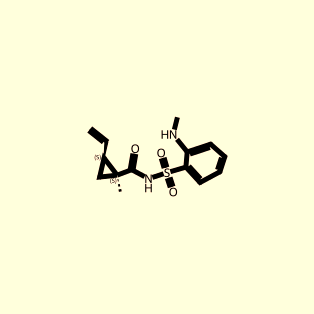 C=C[C@@H]1C[C@]1(C)C(=O)NS(=O)(=O)c1ccccc1NC